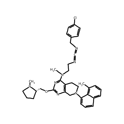 Cc1cccc2cccc(N3CCc4c(nc(OC[C@@H]5CCCN5C)nc4N(C)CCN=C=NCc4ccc(Cl)cc4)C3)c12